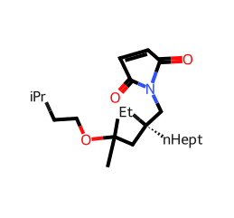 CCCCCCC[C@](CC)(CN1C(=O)C=CC1=O)CC(C)(C)OCCC(C)C